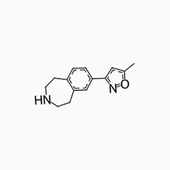 Cc1cc(-c2ccc3c(c2)CCNCC3)no1